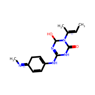 C/C=C(\C)N1C(=O)NC(NC2=CC/C(=N\C)C=C2)=NC1O